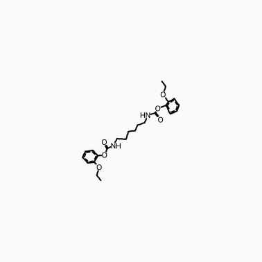 CCOc1ccccc1OC(=O)NCCCCCCNC(=O)Oc1ccccc1OCC